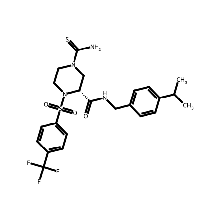 CC(C)c1ccc(CNC(=O)[C@H]2CN(C(N)=S)CCN2S(=O)(=O)c2ccc(C(F)(F)F)cc2)cc1